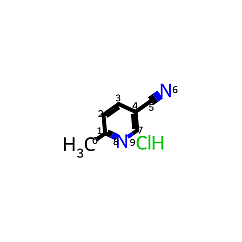 Cc1ccc(C#N)cn1.Cl